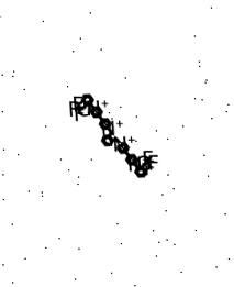 FC(F)(F)Oc1ccccc1-[n+]1ccc(-c2cc[n+](Cc3ccccc3C[n+]3ccc(-c4cc[n+](-c5ccccc5OC(F)(F)F)cc4)cc3)cc2)cc1